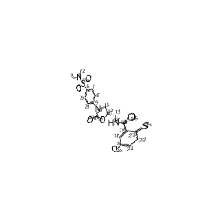 CN(C)S(=O)(=O)c1ccc(N2C[C@H](CNC(=O)C3=CC(Cl)=CCC3=S)OC2=O)cc1